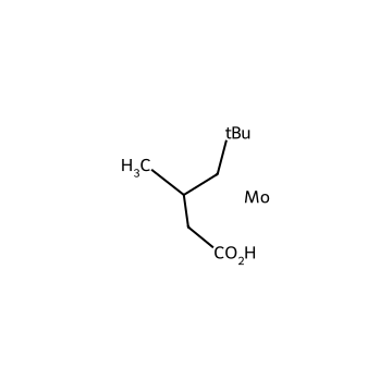 CC(CC(=O)O)CC(C)(C)C.[Mo]